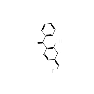 CCC=C1C=CC(C(=O)c2ccccc2)=C(O)C1